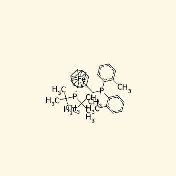 Cc1ccccc1P(c1ccccc1C)[C@H](C)[C]12[CH]3[CH]4[CH]5[C@@]1(P(C(C)(C)C)C(C)(C)C)[Fe]43521678[CH]2[CH]1[CH]6[CH]7[CH]28